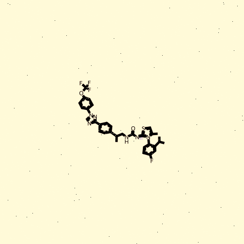 Cc1cs/c(=N\C(=O)NCC(C)c2ccc(-c3ncn(-c4ccc(OC(F)(F)F)cc4)n3)cc2)n1-c1ccc(F)cc1C(C)C